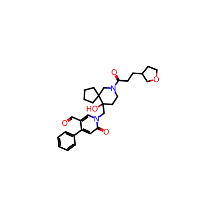 O=Cc1cn(CC2(O)CCN(C(=O)CCC3CCOC3)CC23CCCC3)c(=O)cc1-c1ccccc1